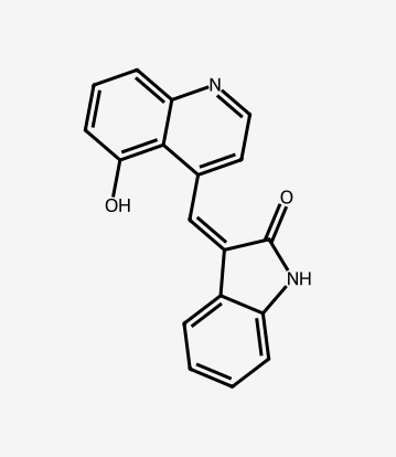 O=C1Nc2ccccc2C1=Cc1ccnc2cccc(O)c12